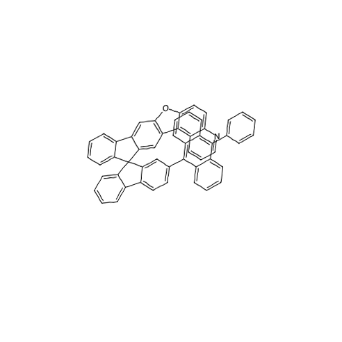 c1ccc(-c2c3ccccc3c(-c3ccc4c(c3)C3(c5ccccc5-4)c4ccccc4-c4cc5oc6ccc7ncccc7c6c5cc43)c3ccccc23)cc1